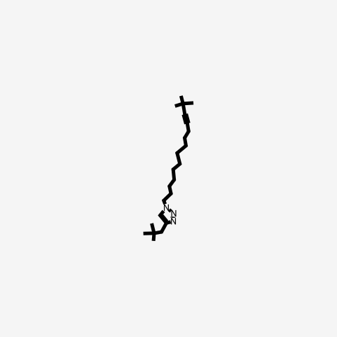 CC(C)(C)C#CCCCCCCCCCCn1cc(CC(C)(C)C)nn1